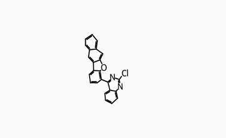 Clc1nc(-c2cccc3c2oc2cc4ccccc4cc23)c2ccccc2n1